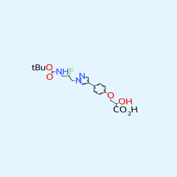 CC(C)(C)OC(=O)NCC(F)Cn1cc(-c2ccc(OC[C@@H](O)C(=O)O)cc2)cn1